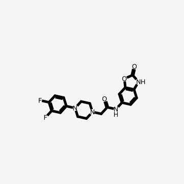 O=C(CN1CCN(c2ccc(F)c(F)c2)CC1)Nc1ccc2[nH]c(=O)oc2c1